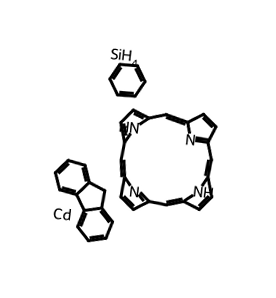 C1=Cc2cc3ccc(cc4nc(cc5ccc(cc1n2)[nH]5)C=C4)[nH]3.[Cd].[SiH4].c1ccc2c(c1)Cc1ccccc1-2.c1ccccc1